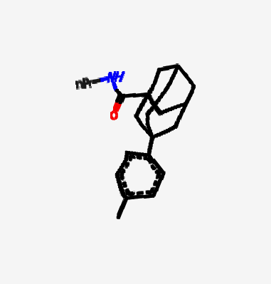 CCCNC(=O)C12CC3CC(C1)CC(c1ccc(C)cc1)(C3)C2